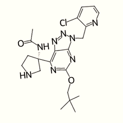 CC(=O)N[C@@]1(c2nc(OCC(C)(C)C)nc3c2nnn3Cc2ncccc2Cl)CCNC1